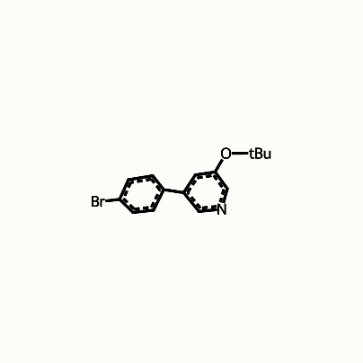 CC(C)(C)Oc1cncc(-c2ccc(Br)cc2)c1